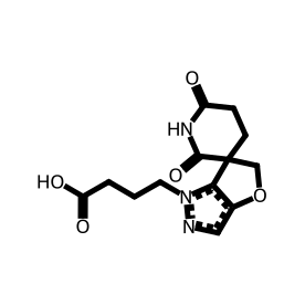 O=C(O)CCCn1ncc2c1C1(CCC(=O)NC1=O)CO2